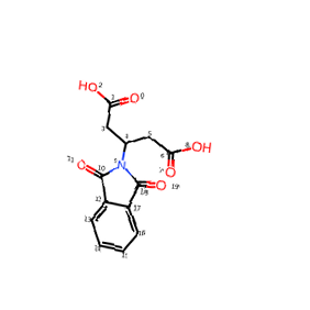 O=C(O)CC(CC(=O)O)N1C(=O)c2ccccc2C1=O